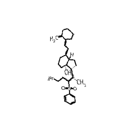 C=C1CCCCC1=CC=C1CCC[C@]2(C)[C@@H]([C@H](C)C(CCC(C)C)S(=O)(=O)c3ccccc3)CC[C@@H]12